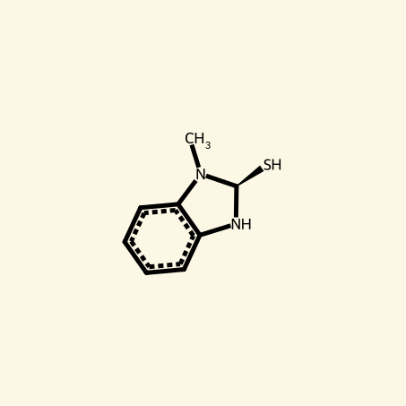 CN1c2ccccc2N[C@@H]1S